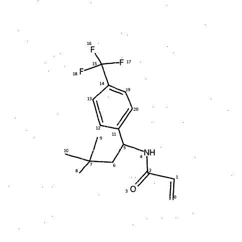 C=CC(=O)NC(CC(C)(C)C)c1ccc(C(F)(F)F)cc1